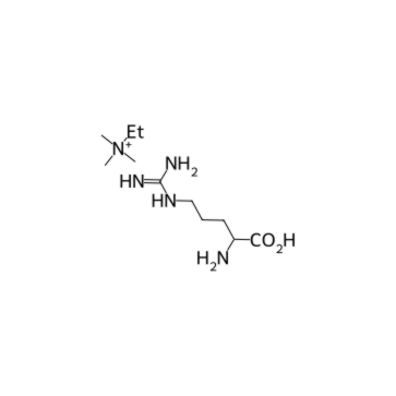 CC[N+](C)(C)C.N=C(N)NCCCC(N)C(=O)O